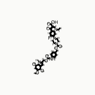 CCn1cc(C(=O)O)c(=O)c2cc(F)c(N3CCN(C(=O)OCc4ccc(NC(=O)OCc5cc6c(n5C)C(=O)C=C(OC)C6=O)cc4)CC3)cc21